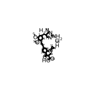 COc1cc(Cc2cnc(N)nc2N)cc(C#Cc2ccc3c(=O)c(C(=O)O)cn(C4CC4)c3c2)c1OC.Cl